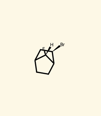 F[C@H]1C2CCC1[C@H](Br)C2